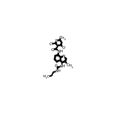 CCCNC(=O)Nc1c(C)cnc2c(NC(=O)c3c(Cl)cc(C)nc3Cl)cccc12